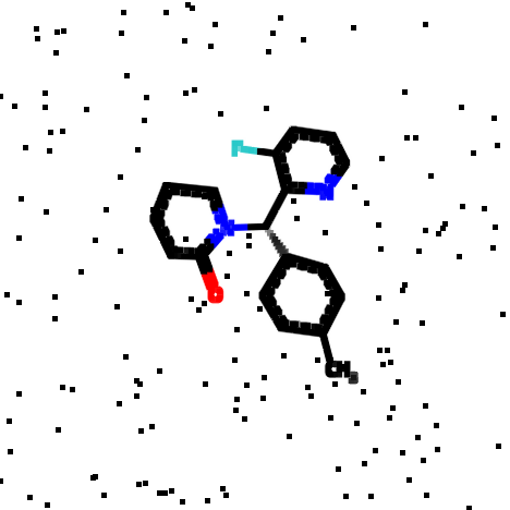 Cc1ccc([C@@H](c2ncccc2F)n2ccccc2=O)cc1